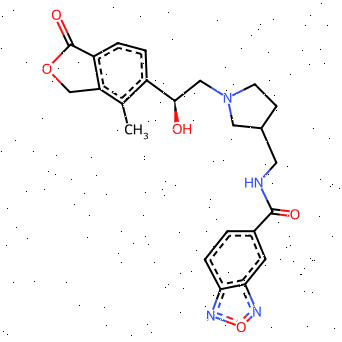 Cc1c([C@H](O)CN2CCC(CNC(=O)c3ccc4nonc4c3)C2)ccc2c1COC2=O